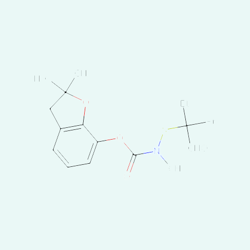 CCC(C=O)(CC)SN(C)C(=O)Oc1cccc2c1OC(C)(C)C2